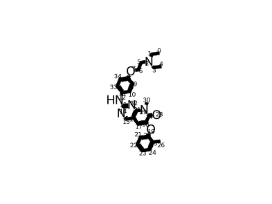 CCN(CC)CCOc1ccc(Nc2ncc3cc(Oc4ccccc4C)c(=O)n(C)c3n2)cc1